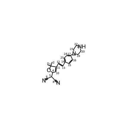 CC1(C)OC(C(C#N)C#N)C=C1C=Cc1ccc(N2CCNCC2)cc1